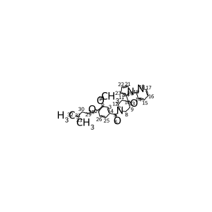 COc1cc(C(=O)N2CCC3(CC2)Oc2cccnc2-n2cccc23)ccc1OCCC(C)C